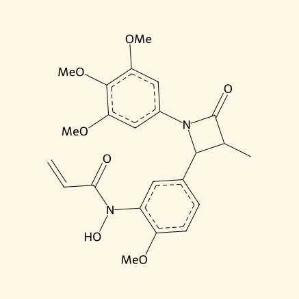 C=CC(=O)N(O)c1cc(C2C(C)C(=O)N2c2cc(OC)c(OC)c(OC)c2)ccc1OC